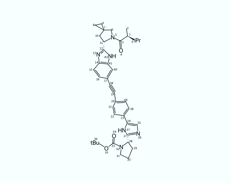 CC(C)[C@H](C)C(=O)N1CC2(CC2)C[C@H]1c1nc2ccc(C#Cc3ccc(-c4cnc([C@@H]5CCCN5C(=O)OC(C)(C)C)[nH]4)cc3)cc2[nH]1